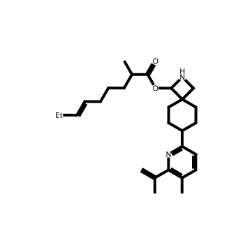 C=C(C)c1nc(C2CCC3(CC2)CNC3OC(=O)C(C)CCCC=CCC)ccc1C